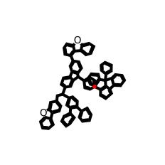 c1ccc(-c2ccc(C(Cc3ccc4c(c3)oc3ccccc34)c3ccc4c(c3)C(c3ccc(-c5cccc6c5C(c5ccccc5)(c5ccccc5)c5ccccc5-6)cc3)c3ccc(-c5cccc6oc7ccccc7c56)cc3-4)cc2-c2ccccc2)cc1